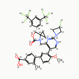 COc1ccc(-c2ccc(C(=O)O)cc2C)cc1-c1cnc(N2CC(F)C2)nc1CN1C(=O)O[C@H](c2cc(C(F)(F)F)cc(C(F)(F)F)c2)C12CC2